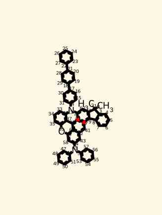 CC1(C)c2ccccc2-c2ccc(N(c3ccc(-c4ccc(-c5ccccc5)cc4)cc3)c3cccc4c3-c3cccc5cc(N(c6ccccc6)c6ccccc6)cc(c35)O4)cc21